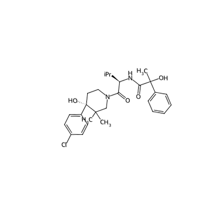 CC(C)[C@@H](NC(=O)C(C)(O)c1ccccc1)C(=O)N1CC[C@](O)(c2ccc(Cl)cc2)C(C)(C)C1